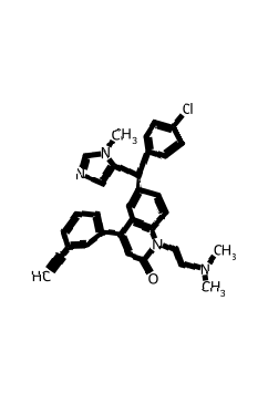 C#Cc1cccc(-c2cc(=O)n(CCN(C)C)c3ccc([C@H](c4ccc(Cl)cc4)c4cncn4C)cc23)c1